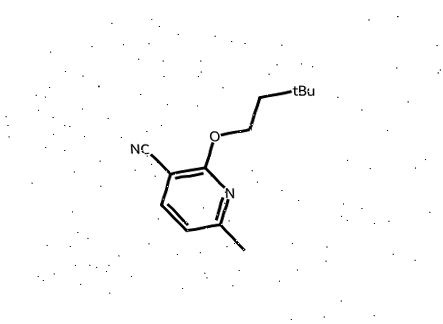 Cc1ccc(C#N)c(OCCC(C)(C)C)n1